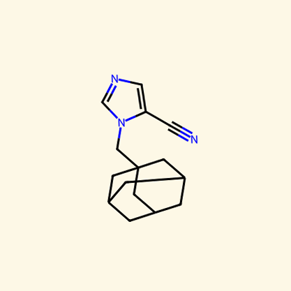 N#Cc1cncn1CC12CC3CC(CC(C3)C1)C2